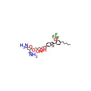 CCCCCc1ccc(-c2cc3ccc(OCC(O)CC(O)COC(=O)C(CC(C)(C)N)C(C)(C)N)cc3s2)c(OC(F)(F)F)c1